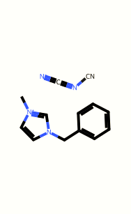 C[n+]1ccn(Cc2ccccc2)c1.N#CN=C=[N-]